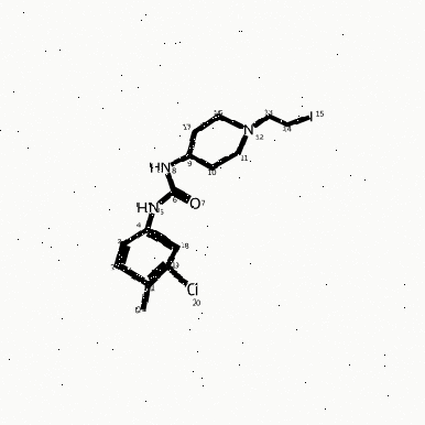 Cc1ccc(NC(=O)NC2CCN(CCI)CC2)cc1Cl